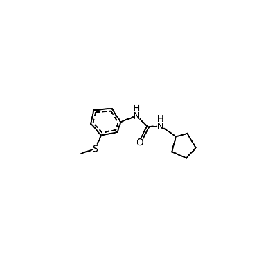 CSc1cccc(NC(=O)NC2CCCC2)c1